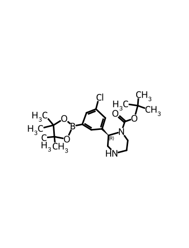 CC(C)(C)OC(=O)N1CCNC[C@H]1c1cc(Cl)cc(B2OC(C)(C)C(C)(C)O2)c1